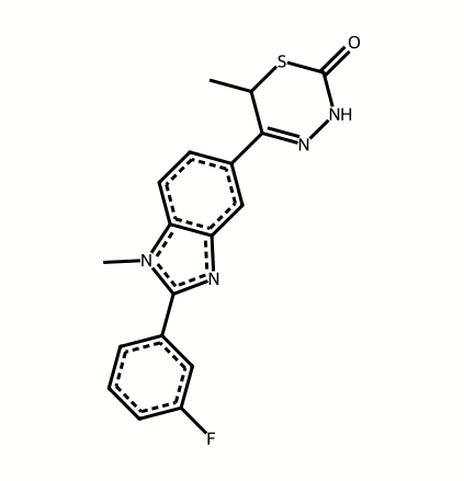 CC1SC(=O)NN=C1c1ccc2c(c1)nc(-c1cccc(F)c1)n2C